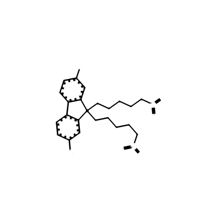 O=P(=O)CCCCCC1(CCCCCP(=O)=O)c2cc(Br)ccc2-c2ccc(Br)cc21